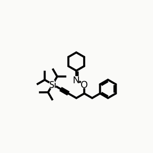 CC(C)[Si](C#CCC(Cc1ccccc1)ON=C1CCCCC1)(C(C)C)C(C)C